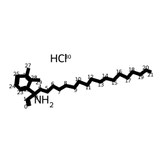 C=CC(N)(CCCCCCCCCCCCCCCCCC)c1cccc(C)c1C.Cl